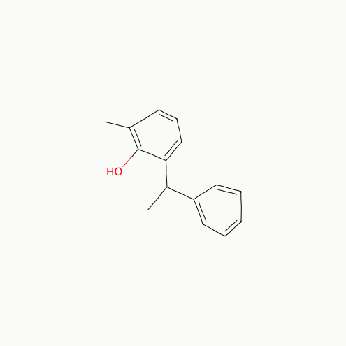 Cc1cccc(C(C)c2ccccc2)c1O